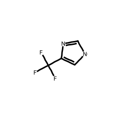 FC(F)(F)C1=C[N]C=N1